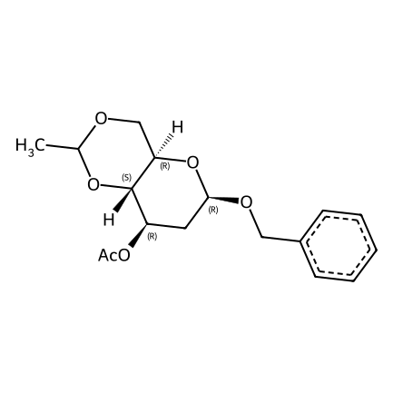 CC(=O)O[C@@H]1C[C@H](OCc2ccccc2)O[C@@H]2COC(C)O[C@@H]12